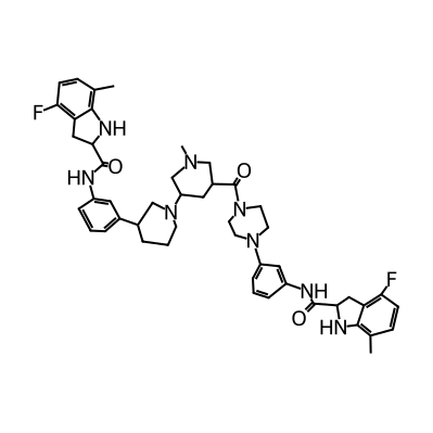 Cc1ccc(F)c2c1NC(C(=O)Nc1cccc(C3CCCN(C4CC(C(=O)N5CCN(c6cccc(NC(=O)C7Cc8c(F)ccc(C)c8N7)c6)CC5)CN(C)C4)C3)c1)C2